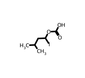 CC(C)CC(I)OC(=O)O